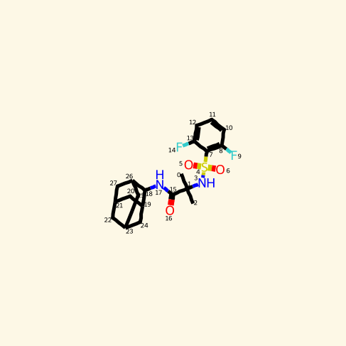 CC(C)(NS(=O)(=O)c1c(F)cccc1F)C(=O)NC1C2CC3CC(C2)CC1C3